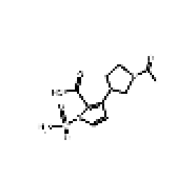 CC(=O)N1CCC(c2ccn(S(N)(=O)=O)c2C(=O)O)C1